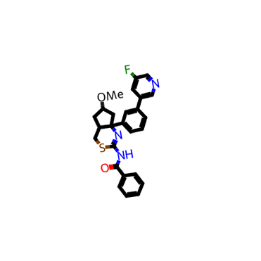 COC1CC2CSC(NC(=O)c3ccccc3)=NC2(c2cccc(-c3cncc(F)c3)c2)C1